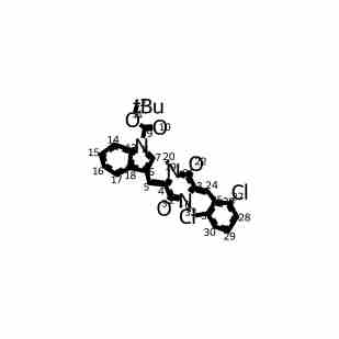 Cn1c(=O)c(=Cc2cn(C(=O)OC(C)(C)C)c3ccccc23)n(C)c(=O)c1=Cc1c(Cl)cccc1Cl